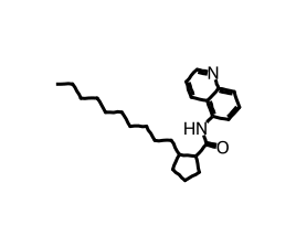 CCCCCCCCCCC1CCCC1C(=O)Nc1cccc2ncccc12